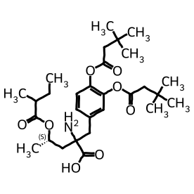 CCC(C)C(=O)O[C@@H](C)CC(N)(Cc1ccc(OC(=O)CC(C)(C)C)c(OC(=O)CC(C)(C)C)c1)C(=O)O